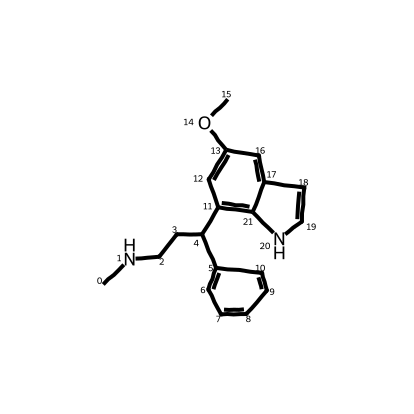 CNCCC(c1ccccc1)c1cc(OC)cc2cc[nH]c12